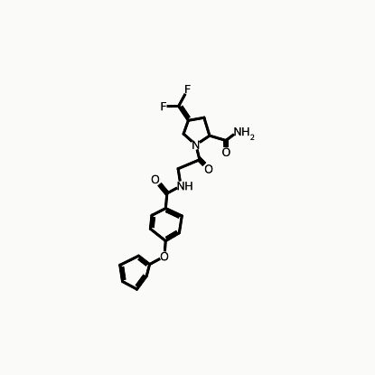 NC(=O)C1CC(=C(F)F)CN1C(=O)CNC(=O)c1ccc(Oc2ccccc2)cc1